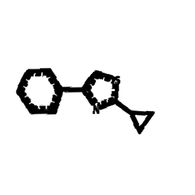 [CH]1CC1c1nc(-c2ccccc2)cs1